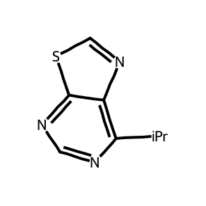 CC(C)c1ncnc2scnc12